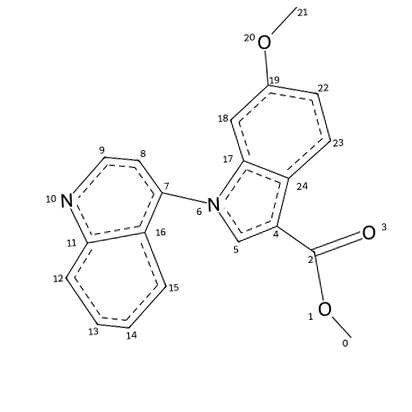 COC(=O)c1cn(-c2ccnc3ccccc23)c2cc(OC)ccc12